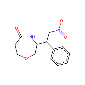 O=C1CCOCC(C(C[N+](=O)[O-])c2ccccc2)N1